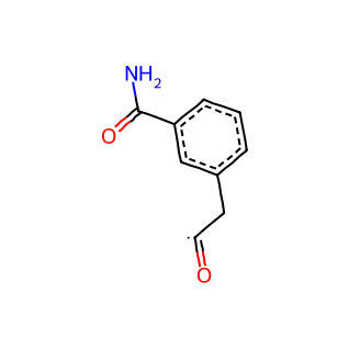 NC(=O)c1cccc(C[C]=O)c1